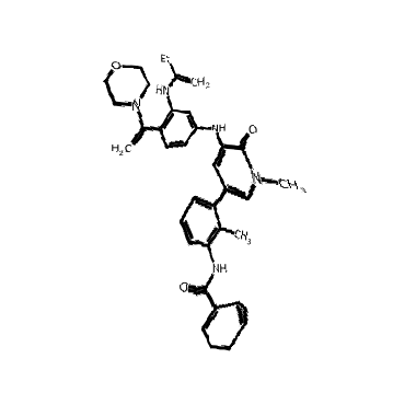 C=C(CC)Nc1cc(Nc2cc(-c3cccc(NC(=O)C4=CCCC=C4)c3C)cn(C)c2=O)ccc1C(=C)N1CCOCC1